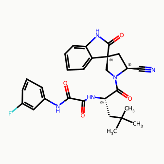 CC(C)(C)C[C@H](NC(=O)C(=O)Nc1cccc(F)c1)C(=O)N1C[C@]2(C[C@H]1C#N)C(=O)Nc1ccccc12